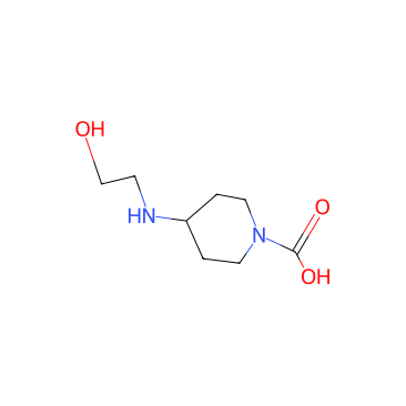 O=C(O)N1CCC(NCCO)CC1